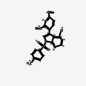 COc1ccc(-c2cn(S(=O)(=O)c3ccc(C)cc3)c3nccc(Cl)c23)c(OC)n1